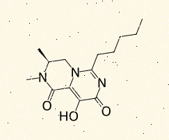 CCCCCc1nc(=O)c(O)c2n1C[C@H](C)N(C)C2=O